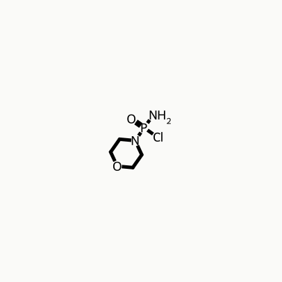 NP(=O)(Cl)N1CCOCC1